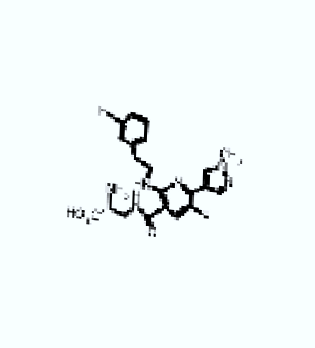 Cn1cc(-c2nc(NCCc3cccc(F)c3)c(C(=O)NC[C@@H](N)C(=O)O)cc2F)cn1